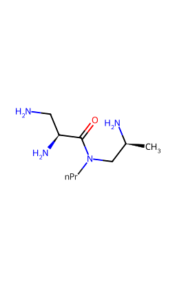 CCCN(C[C@H](C)N)C(=O)[C@@H](N)CN